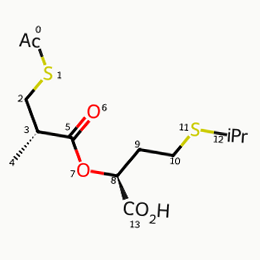 CC(=O)SC[C@@H](C)C(=O)O[C@@H](CCSC(C)C)C(=O)O